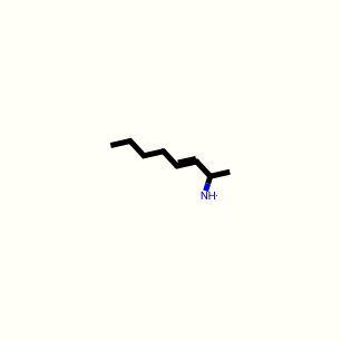 CCCCC=CC(C)[NH]